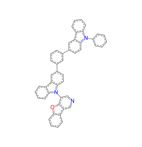 c1ccc(-n2c3ccccc3c3cc(-c4cccc(-c5ccc6c(c5)c5ccccc5n6-c5cncc6c5oc5ccccc56)c4)ccc32)cc1